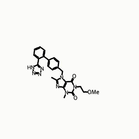 COCCn1c(=O)c2c(nc(C)n2Cc2ccc(-c3ccccc3-c3nnn[nH]3)cc2)n(C)c1=O